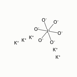 [K+].[K+].[K+].[K+].[K+].[O-][I+]([O-])([O-])([O-])([O-])[O-]